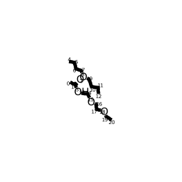 CC(=O)O.CCCCOCCCC.CCOCCOCC